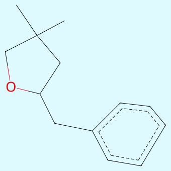 CC1(C)COC(Cc2ccccc2)C1